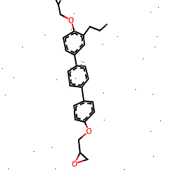 CCCc1cc(-c2ccc(-c3ccc(OCC4CO4)cc3)cc2)ccc1OCC1CO1